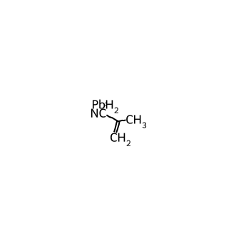 C=C(C)C#N.[PbH2]